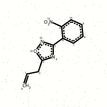 C=CCc1nc(-c2ccccc2[N+](=O)[O-])no1